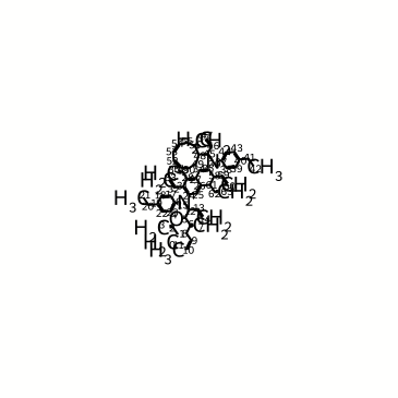 C=CC(=C)OC(C(=C)C/C=C\C)C(C=C)N(c1ccc(CC)cc1)c1cc2c(c(C=C)c1C=C)C=C(N(c1ccc(CC)cc1)C(C=C)C1CC/C=C\C=C/CC1=C)C(C=C)C2C=C